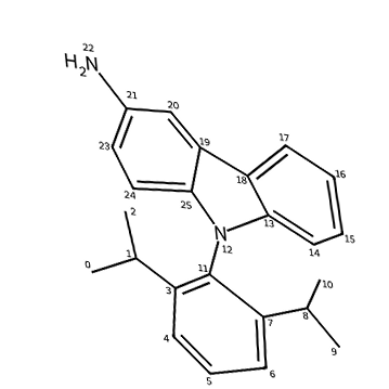 CC(C)c1cccc(C(C)C)c1-n1c2ccccc2c2cc(N)ccc21